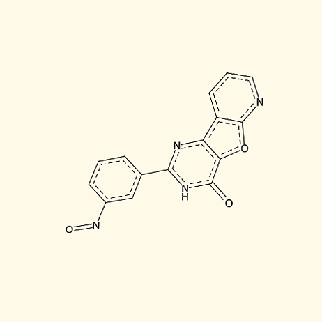 O=Nc1cccc(-c2nc3c(oc4ncccc43)c(=O)[nH]2)c1